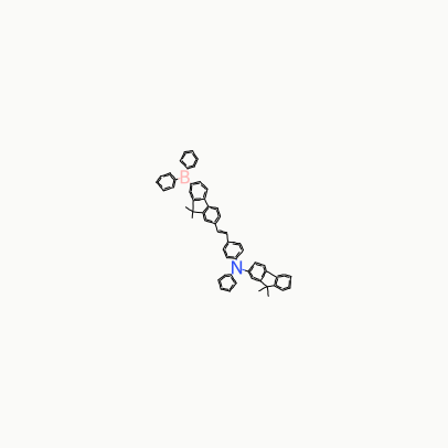 CC1(C)c2cc(/C=C/c3ccc(N(c4ccccc4)c4ccc5c(c4)C(C)(C)c4ccccc4-5)cc3)ccc2-c2ccc(B(c3ccccc3)c3ccccc3)cc21